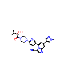 CC(C)[C@@H](O)C(=O)N1CCN(c2ccc(-c3cc(-c4cnn(C)c4)cc4ncc(C#N)n34)cn2)CC1